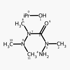 CC(C)O.CN(N)C(=O)N(C)N(C)C